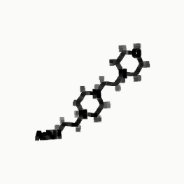 CC(=O)NCCN1CCN(CCN2CCOCC2)CC1